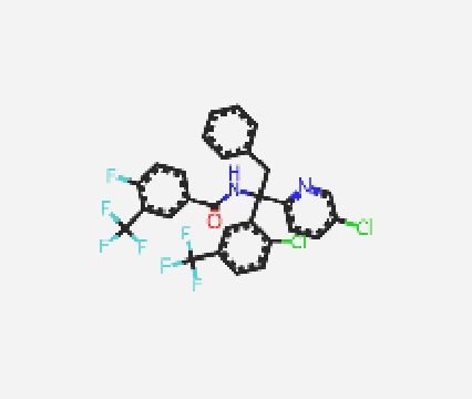 O=C(NC(Cc1ccccc1)(c1ccc(Cl)cn1)c1cc(C(F)(F)F)ccc1Cl)c1ccc(F)c(C(F)(F)F)c1